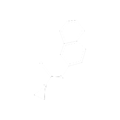 O=C(Nc1ccc2ccccc2c1)N1CC1